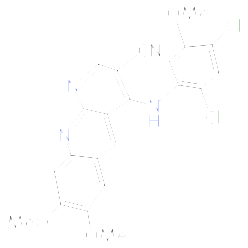 COc1cc(Nc2c(C#N)cnc3nc4cc(OC)c(OC)cc4cc23)c(Cl)cc1Cl